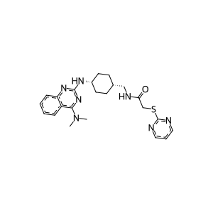 CN(C)c1nc(N[C@H]2CC[C@@H](CNC(=O)CSc3ncccn3)CC2)nc2ccccc12